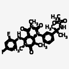 Cc1c(=O)n(C)c(Nc2ccc(I)cc2F)c2c(=O)n(C)c(=O)n(-c3cccc(C(C)(C)NS(C)(=O)=O)c3)c12